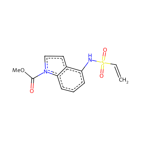 C=CS(=O)(=O)Nc1cccc2c1ccn2C(=O)OC